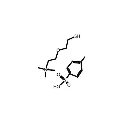 C[N+](C)(C)CCOCCS.Cc1ccc(S(=O)(=O)O)cc1